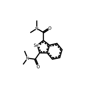 CN(C)C(=O)c1[se]c(C(=O)N(C)C)c2ccccc12